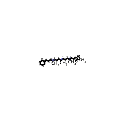 C/C(=C\CC/C(C)=C/CC/C(C)=C/CCS(C)(=O)=O)CCC=C1CCCCC1